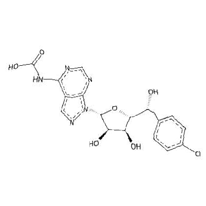 O=C(O)Nc1ncnc2c1cnn2[C@@H]1O[C@H]([C@H](O)c2ccc(Cl)cc2)[C@@H](O)[C@H]1O